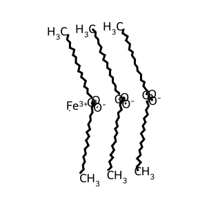 CCCCCCCCCCCCCCCCCCOP(=O)([O-])CCCCCCCCCCCCCCCCCC.CCCCCCCCCCCCCCCCCCOP(=O)([O-])CCCCCCCCCCCCCCCCCC.CCCCCCCCCCCCCCCCCCOP(=O)([O-])CCCCCCCCCCCCCCCCCC.[Fe+3]